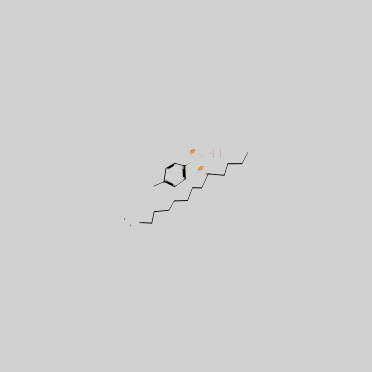 CCCCCCCCCCC[CH2][Na].Cc1ccc(S(=O)(=O)O)cc1